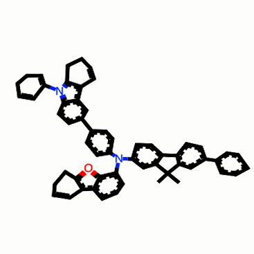 CC1(C)c2cc(-c3ccccc3)ccc2-c2ccc(N(c3ccc(-c4ccc5c(c4)c4c(n5C5=CCCC=C5)CCC=C4)cc3)c3cccc4c5c(oc34)CCC=C5)cc21